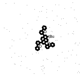 CC(C)(C)c1cc(-c2cccc3c2oc2ccccc23)c2ccc3c(-c4cccc5c4oc4ccccc45)cc(-c4cccc5c4oc4ccccc45)c4ccc1c2c34